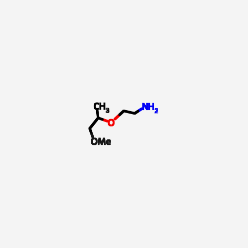 COCC(C)OCCN